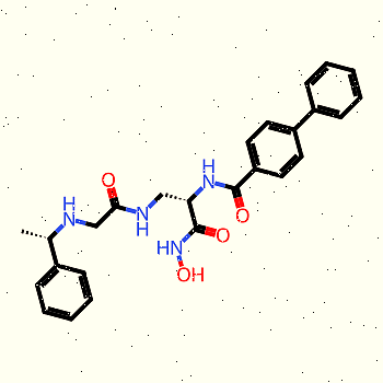 C[C@H](NCC(=O)NC[C@H](NC(=O)c1ccc(-c2ccccc2)cc1)C(=O)NO)c1ccccc1